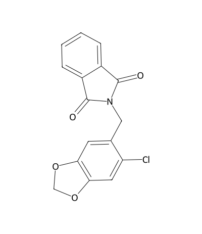 O=C1c2ccccc2C(=O)N1Cc1cc2c(cc1Cl)OCO2